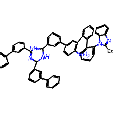 CCc1nc2ccccc2n1-c1ccccc1-c1ccccc1-c1cc(-c2cccc(C3NC(c4cccc(-c5ccccc5)c4)=NC(c4cccc(-c5ccccc5)c4)N3)c2)ccc1N